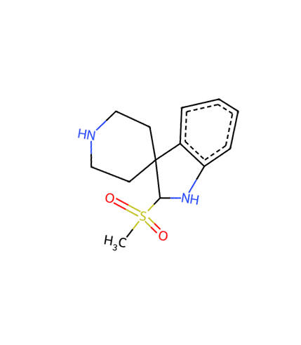 CS(=O)(=O)C1Nc2ccccc2C12CCNCC2